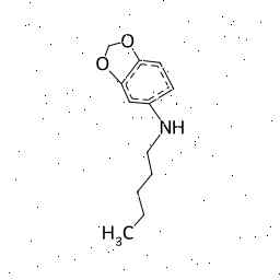 CCCCCNc1ccc2c(c1)OCO2